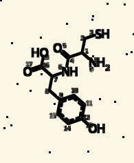 NC(CS)C(=O)NC(Cc1ccc(O)cc1)C(=O)O